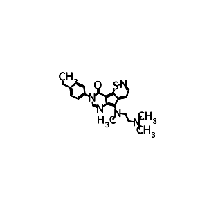 CCc1ccc(-n2cnc3c(N(C)CCN(C)C)c4ccnsc-4c3c2=O)cc1